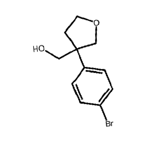 OCC1(c2ccc(Br)cc2)CCOC1